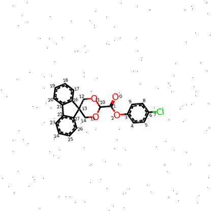 O=C(Oc1ccc(Cl)cc1)C1OCC2(CO1)c1ccccc1-c1ccccc12